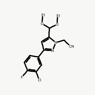 CCOC(OCC)c1cc(-c2ccc(F)c(Cl)c2)nn1CC#N